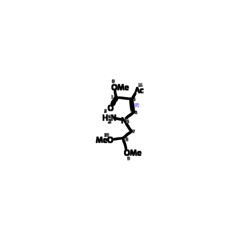 COC(=O)/C(=C\N(N)CC(OC)OC)C(C)=O